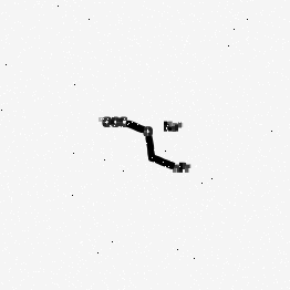 CCCCOC(=O)[O-].[Na+]